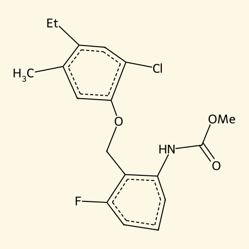 CCc1cc(Cl)c(OCc2c(F)cccc2NC(=O)OC)cc1C